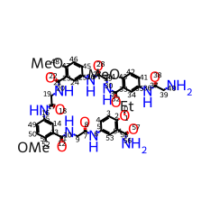 CCOc1ccc(NC(=O)CNC(=O)c2cc(NC(=O)CNC(=O)c3cc(NC(=O)CNC(=O)c4cc(NC(=O)CN)ccc4OC)ccc3OC)ccc2OC)cc1C(N)=O